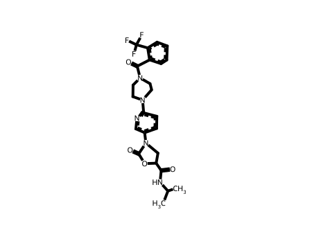 CC(C)NC(=O)C1CN(c2ccc(N3CCN(C(=O)c4ccccc4C(F)(F)F)CC3)nc2)C(=O)O1